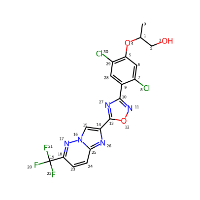 CC(CO)Oc1cc(Cl)c(-c2noc(-c3cn4nc(C(F)(F)F)ccc4n3)n2)cc1Cl